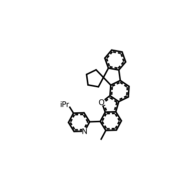 Cc1ccc2c(oc3c4c(ccc32)-c2ccccc2C42CCCC2)c1-c1cc(C(C)C)ccn1